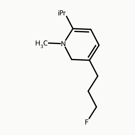 CC(C)C1=CC=C(CCCF)CN1C